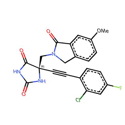 COc1ccc2c(c1)C(=O)N(C[C@@]1(C#Cc3ccc(F)cc3Cl)NC(=O)NC1=O)C2